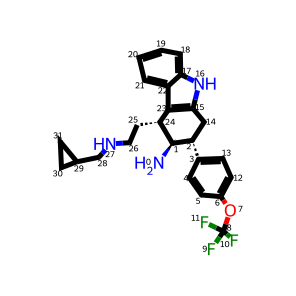 N[C@@H]1[C@@H](c2ccc(OC(F)(F)F)cc2)Cc2[nH]c3ccccc3c2[C@H]1CCNCC1CC1